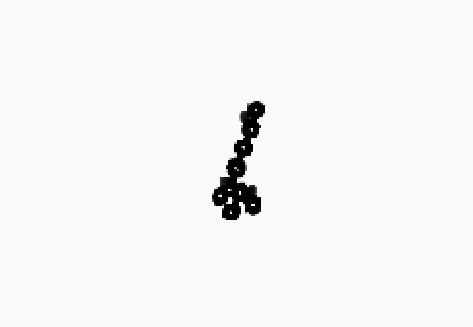 c1ccc(-c2c3c(cc4c(-c5ccc(-c6ccc(-c7ccc8c(c7)oc7ccccc78)cc6)cc5)nc5ccccc5c24)oc2ccccc23)cc1